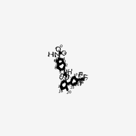 COC(=O)N[C@@H]1Cc2ccc(NC(=O)Oc3cccc(C)c3-c3ccc(C(F)(F)F)cc3)cc2C1